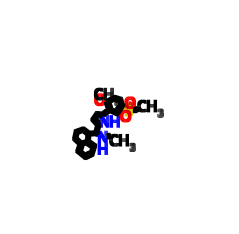 CCNC(c1ccc(-c2cc(S(=O)(=O)CC)ccc2OC)[nH]1)C1CCCc2ccccc21